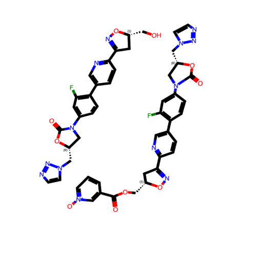 O=C(OC[C@@H]1CC(c2ccc(-c3ccc(N4C[C@H](Cn5ccnn5)OC4=O)cc3F)cn2)=NO1)c1ccc[n+]([O-])c1.O=C1O[C@@H](Cn2ccnn2)CN1c1ccc(-c2ccc(C3=NO[C@H](CO)C3)nc2)c(F)c1